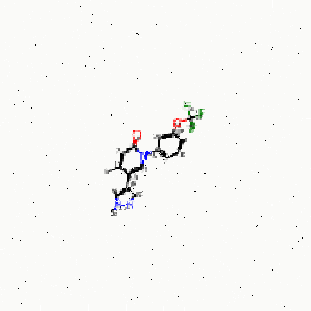 Cc1cc(=O)n(-c2cccc(OC(F)(F)F)c2)cc1-c1cnn(C)c1